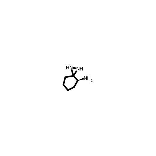 N[C@H]1CCCCC12NN2